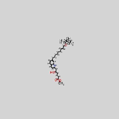 COC(=O)CCCC(O)Cc1ccc2ccc(CCCCCCCCCO[Si](C)(C)C(C)(C)C)cc2n1